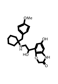 COc1ccc(CC2(NCC(O)c3cc(O)cc4c3OCC(=O)N4)CCCCC2)cc1